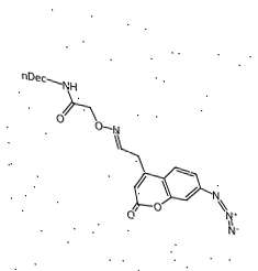 CCCCCCCCCCNC(=O)CO/N=C/Cc1cc(=O)oc2cc(N=[N+]=[N-])ccc12